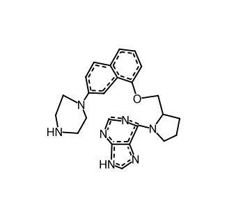 c1cc(OCC2CCCN2c2ncnc3[nH]cnc23)c2cc(N3CCNCC3)ccc2c1